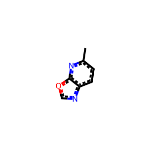 Cc1ccc2ncoc2n1